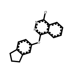 Clc1nnc(Oc2ccc3c(c2)CCC3)c2ccccc12